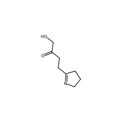 O=C(CO)CCC1=NCCC1